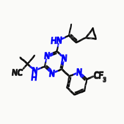 CC(=CC1CC1)Nc1nc(NC(C)(C)C#N)nc(-c2cccc(C(F)(F)F)n2)n1